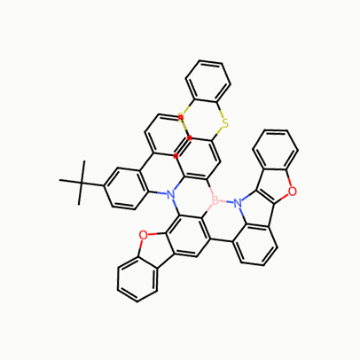 CC(C)(C)c1ccc(N2c3cc4c(cc3B3c5c(cc6c(oc7ccccc76)c52)-c2cccc5c6oc7ccccc7c6n3c25)Sc2ccccc2S4)c(-c2ccccc2)c1